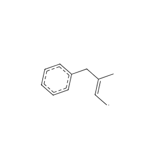 [CH2]C=C(C)Cc1ccccc1